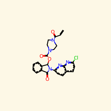 C=CC(=O)N1CCN(C(=O)OC2c3ccccc3C(=O)N2c2ccc3ccc(Cl)nc3n2)CC1